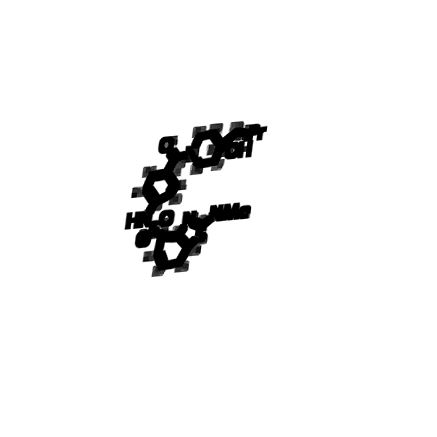 CNC1=NC2=C(S(=O)(=O)Nc3ccc(C(=O)N4CCC(O)(CC(C)C)CC4)cc3)C=CCC2S1